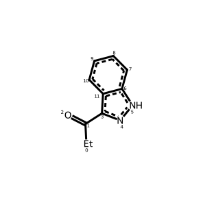 CCC(=O)c1n[nH]c2ccccc12